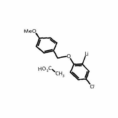 CC(=O)O.[Li][c]1cc(Cl)ccc1OCc1ccc(OC)cc1